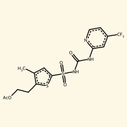 CC(=O)OCCc1sc(S(=O)(=O)NC(=O)Nc2cc(C(F)(F)F)ccn2)cc1C